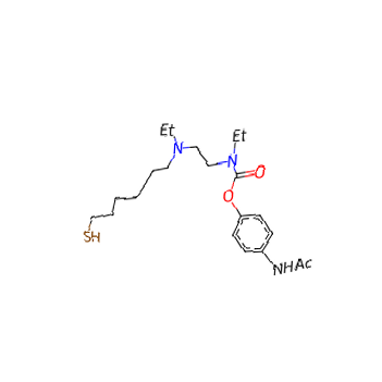 CCN(CCCCCCS)CCN(CC)C(=O)Oc1ccc(NC(C)=O)cc1